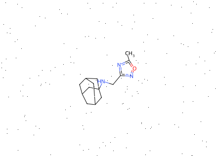 Cc1nc(CNC23CC4CC(CC(C4)C2)C3)no1